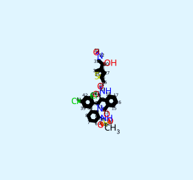 CS(=O)(=O)N[C@H]1CCCC[C@@H]1N1C(=O)c2ccccc2[C@@H](C(=O)NOCc2cc(C(O)CN=O)cs2)[C@@H]1c1ccc(Cl)cc1Cl